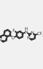 Fc1cc(Nc2nccc(C(F)(F)F)n2)ccc1Oc1cccc2cnccc12